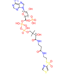 CC(C)(COP(=O)(O)OP(=O)(O)OC[C@H]1O[C@@H](n2cnc3c(N)ncnc32)[C@H](O)[C@@H]1OP(=O)(O)O)[C@@H](O)C(=O)NCCC(=O)NCCSS(=O)(=O)c1cscn1